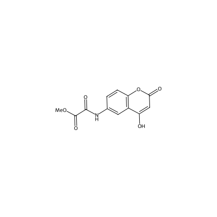 COC(=O)C(=O)Nc1ccc2oc(=O)cc(O)c2c1